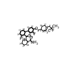 CC(C)(F)CN1CCC(COc2ccc(-c3cccc(F)c3C(=O)N3CCCC[C@H]3C(N)=O)cc2F)CC1